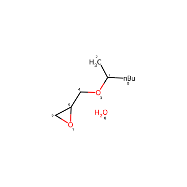 CCCCC(C)OCC1CO1.O